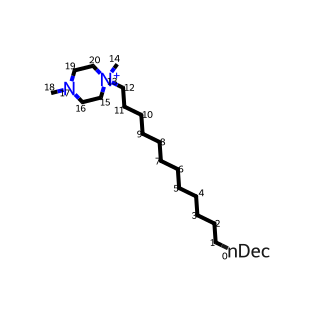 CCCCCCCCCCCCCCCCCCCCCC[N+]1(C)CCN(C)CC1